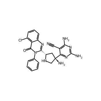 N#Cc1c(N)nc(N)nc1[C@]1(N)CN[C@H](c2nc3cccc(Cl)c3c(=O)n2-c2ccccc2)C1